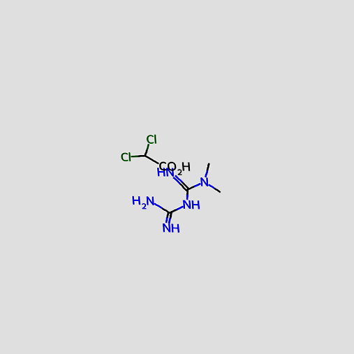 CN(C)C(=N)NC(=N)N.O=C(O)C(Cl)Cl